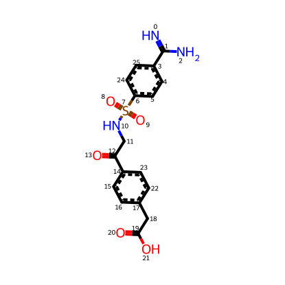 N=C(N)c1ccc(S(=O)(=O)NCC(=O)c2ccc(CC(=O)O)cc2)cc1